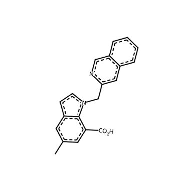 Cc1cc(C(=O)O)c2c(ccn2Cc2cc3ccccc3cn2)c1